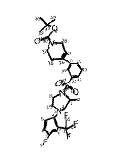 CC1CN(c2ccc(F)cc2C(F)(F)F)CCN1S(=O)(=O)c1cccc(C2=CCN(C(=O)OC(C)(C)C)CC2)c1